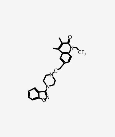 Cc1c(C)c2cc(CCN3CCN(c4noc5ccccc45)CC3)ccc2n(CC(F)(F)F)c1=O